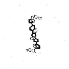 CCCCCCCCc1ccc(-c2ccc3c(c2)oc2cc4c(cc23)oc2cc(-c3ccc(CCCCCCCC)o3)ccc24)o1